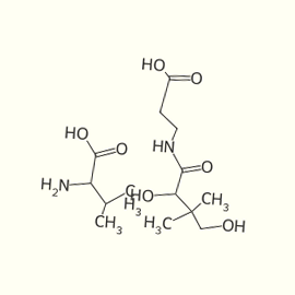 CC(C)(CO)C(O)C(=O)NCCC(=O)O.CC(C)C(N)C(=O)O